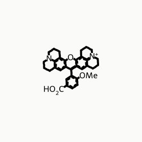 COc1ccc(C(=O)O)cc1C1=c2cc3c4c(c2Oc2c1cc1c5c2CCCN5CCC1)CCC[N+]=4CCC3